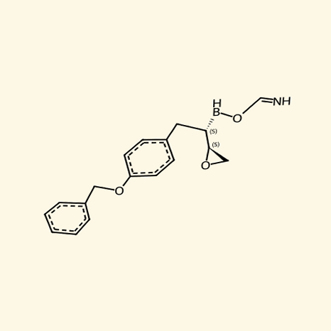 N=COB[C@@H](Cc1ccc(OCc2ccccc2)cc1)[C@H]1CO1